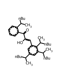 CCCCC(C)c1cc(C=C(O)C(=O)c2ccccc2C(C)CCCC)c(C(C)CCCC)c(C(C)CCCC)c1